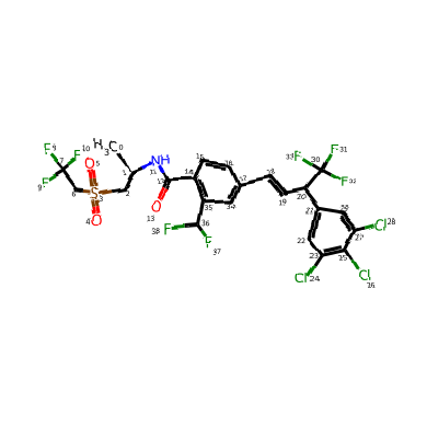 C[C@H](CS(=O)(=O)CC(F)(F)F)NC(=O)c1ccc(/C=C/C(c2cc(Cl)c(Cl)c(Cl)c2)C(F)(F)F)cc1C(F)F